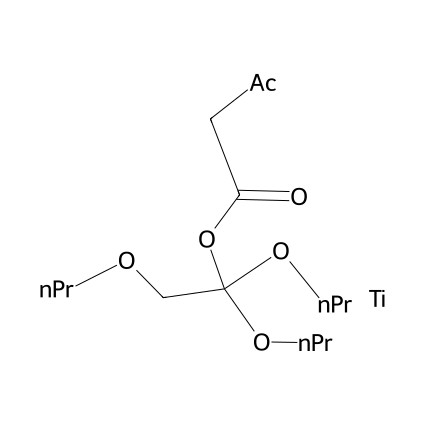 CCCOCC(OCCC)(OCCC)OC(=O)CC(C)=O.[Ti]